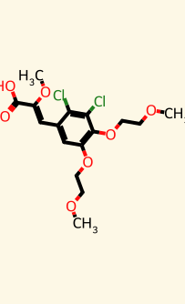 COCCOc1cc(C=C(OC)C(=O)O)c(Cl)c(Cl)c1OCCOC